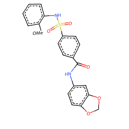 COc1ccccc1NS(=O)(=O)c1ccc(C(=O)Nc2ccc3c(c2)OCO3)cc1